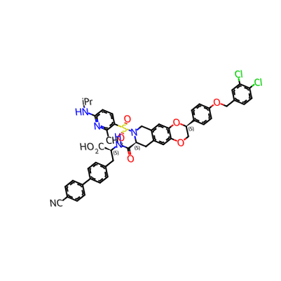 Cc1nc(NC(C)C)ccc1S(=O)(=O)N1Cc2cc3c(cc2C[C@H]1C(=O)N[C@@H](Cc1ccc(-c2ccc(C#N)cc2)cc1)C(=O)O)OC[C@H](c1ccc(OCc2ccc(Cl)c(Cl)c2)cc1)O3